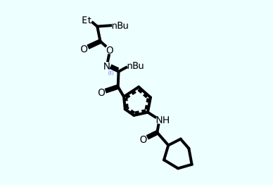 CCCC/C(=N\OC(=O)C(CC)CCCC)C(=O)c1ccc(NC(=O)C2CCCCC2)cc1